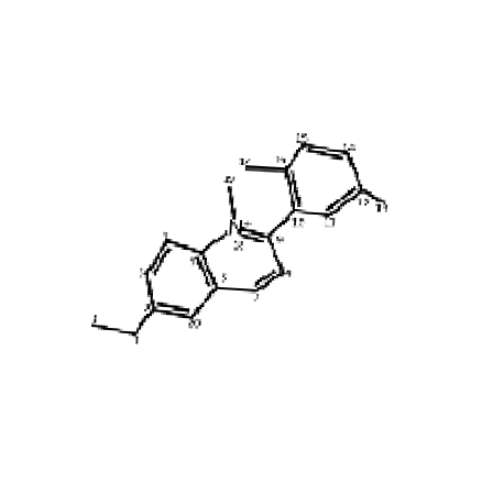 CCc1ccc2c(ccc(-c3cc(C)ccc3C)[n+]2C)c1